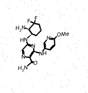 COc1ccc(Nc2nc(N[C@@H]3CCCC(F)(F)[C@@H]3N)cnc2C(N)=O)cn1